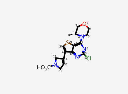 C[C@@H]1COCCN1c1nc(Cl)nc2c(C3=CCN(C(=O)O)C3)csc12